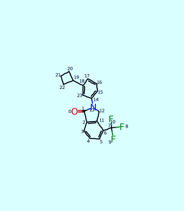 O=C1c2cccc(C(F)(F)F)c2CN1c1cccc(C2CCC2)c1